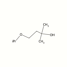 CC(C)OCCC(C)(C)O